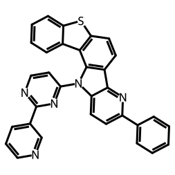 c1ccc(-c2ccc3c(n2)c2ccc4sc5ccccc5c4c2n3-c2ccnc(-c3cccnc3)n2)cc1